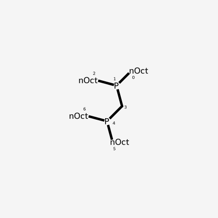 CCCCCCCCP(CCCCCCCC)CP(CCCCCCCC)CCCCCCCC